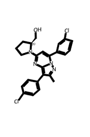 Cc1nn2c(-c3cccc(Cl)c3)cc(N3CCC[C@H]3CO)nc2c1-c1ccc(Cl)cc1